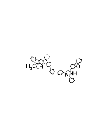 CC1(C)c2ccccc2-c2cc3c(cc21)-c1cc(-c2cccc(-c4ccc(C5=NC(c6ccccc6)NC(c6ccc7c(c6)oc6ccccc67)=C5)cc4)c2)ccc1C31CCCCC1